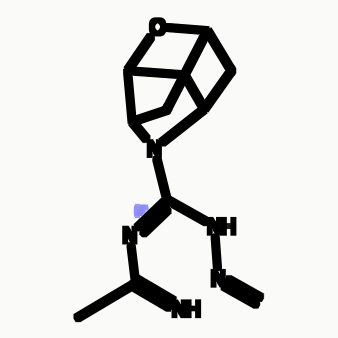 C=NN/C(=N\C(C)=N)N1C2CC3CC1C(C2)O3